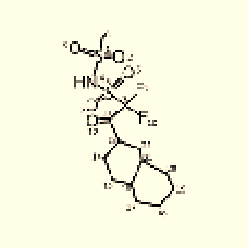 CS(=O)(=O)NS(=O)(=O)C(F)(F)C(=O)C1CCC2CCCCC2C1